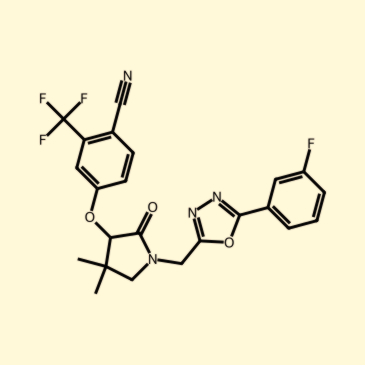 CC1(C)CN(Cc2nnc(-c3cccc(F)c3)o2)C(=O)C1Oc1ccc(C#N)c(C(F)(F)F)c1